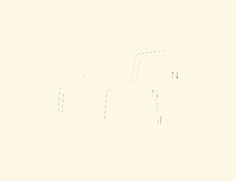 CC(C)n1nccc1-c1ccccc1